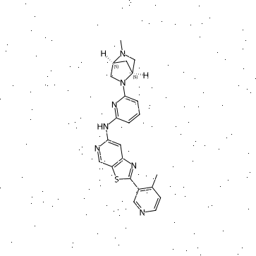 Cc1ccncc1-c1nc2cc(Nc3cccc(N4C[C@@H]5C[C@H]4CN5C)n3)ncc2s1